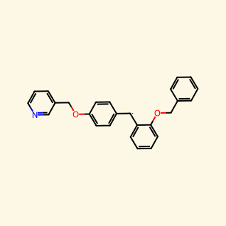 [CH](c1ccc(OCc2cccnc2)cc1)c1ccccc1OCc1ccccc1